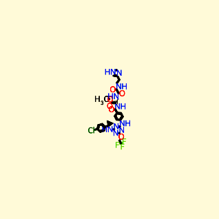 COC(=O)[C@H](CNC(=O)C(=O)NCCc1c[nH]cn1)NC(=O)c1ccc(Nc2nc(NC3(c4ccc(Cl)cc4)CC3)nc(OCC(F)(F)F)n2)cc1